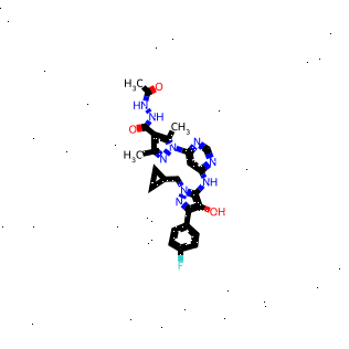 CC(=O)NNC(=O)c1c(C)nn(-c2cc(Nc3c(O)c(-c4ccc(F)cc4)nn3CC3CC3)ncn2)c1C